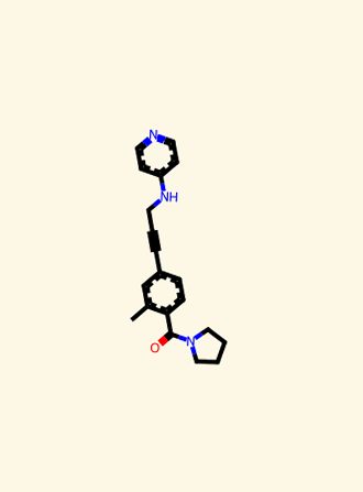 Cc1cc(C#CCNc2ccncc2)ccc1C(=O)N1CCCC1